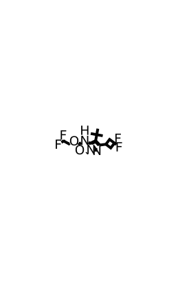 Cn1nc(C2CC(F)(F)C2)c(C(C)(C)C)c1NC(=O)OCC(F)F